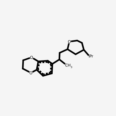 CC(CC1CC(C(C)C)CCO1)c1ccc2c(c1)OCCO2